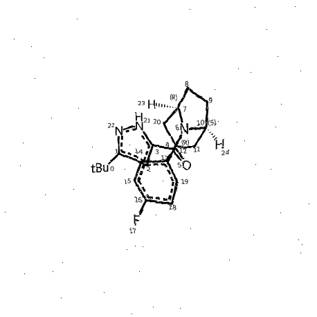 CC(C)(C)c1cc(C(=O)N2[C@@H]3CC[C@H]2C[C@@H](c2ccc(F)cc2)C3)[nH]n1